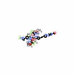 COC(=O)NC(C(=O)N[C@@H](Cc1ccc(C#Cc2ccc(N3CC4(C3)CN(C3COC3)C4)nc2)cc1)[C@@H](O)CN(Cc1c(F)cc(-c2ccn(C(F)F)n2)cc1F)NC(=O)[C@@H](NC(=O)OC)C(C)(C)C(F)(F)F)C(C)(C)C(F)(F)F